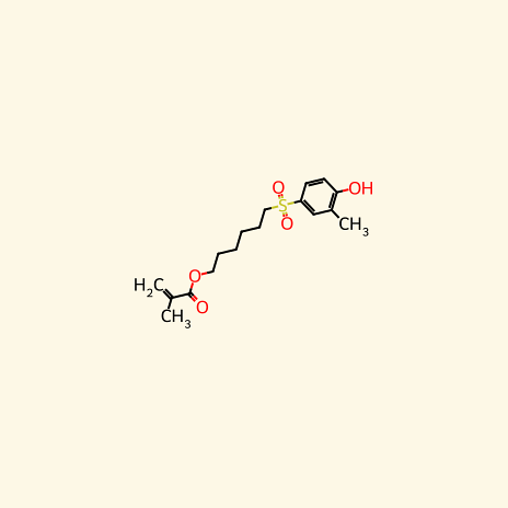 C=C(C)C(=O)OCCCCCCS(=O)(=O)c1ccc(O)c(C)c1